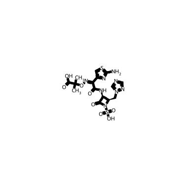 CC(C)(O/N=C(\C(=O)N[C@@H]1C(=O)N(S(=O)(=O)O)[C@@H]1Cn1cncn1)c1csc(N)n1)C(=O)O